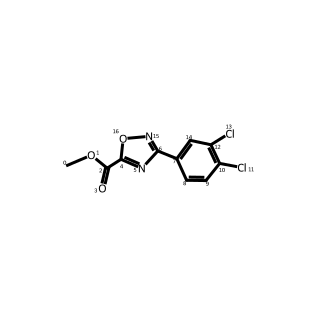 COC(=O)c1nc(-c2ccc(Cl)c(Cl)c2)no1